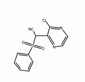 N#CC(c1nccnc1Cl)S(=O)(=O)c1ccccc1